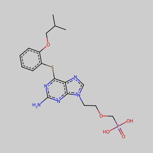 CC(C)COc1ccccc1Sc1nc(N)nc2c1ncn2CCOCP(=O)(O)O